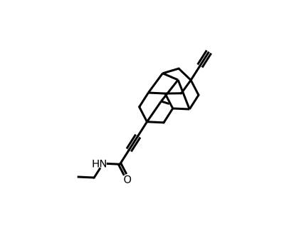 C#CC12CC3C4CC5(C#CC(=O)NCC)CC3C(C1)C(C4C2)C5C